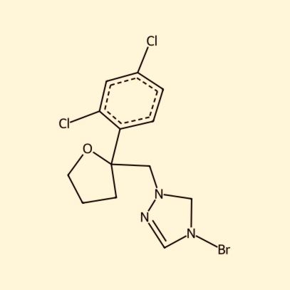 Clc1ccc(C2(CN3CN(Br)C=N3)CCCO2)c(Cl)c1